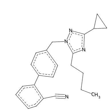 CCCCc1nc(C2CC2)nn1Cc1ccc(-c2ccccc2C#N)cc1